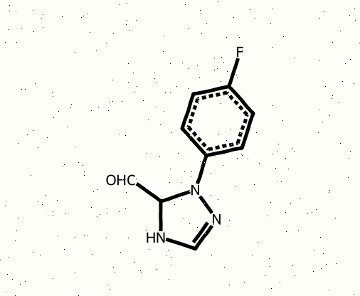 O=CC1NC=NN1c1ccc(F)cc1